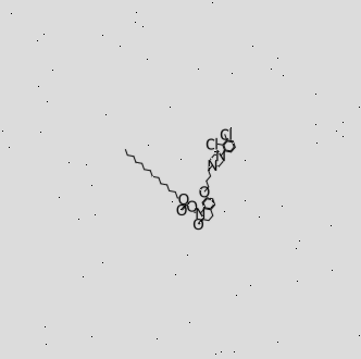 CCCCCCCCCCCCCCOC(=O)OCN1C(=O)CCc2ccc(OCCCCN3CCN(c4cccc(Cl)c4Cl)CC3)cc21